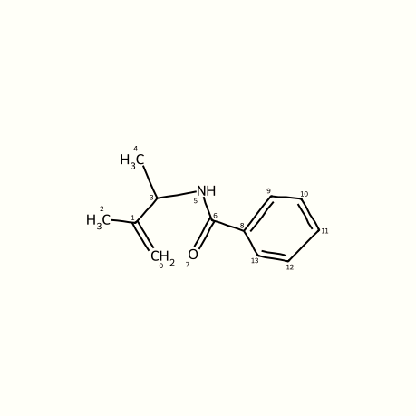 C=C(C)C(C)NC(=O)c1ccccc1